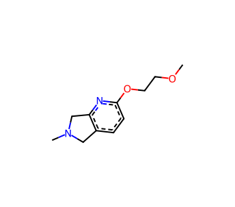 COCCOc1ccc2c(n1)CN(C)C2